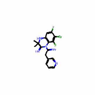 CC1(C)Nc2cc(F)c(Br)c(F)c2N(C(=N)Cc2cccnc2)C1=N